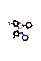 COc1ccc(OCc2ccccc2)c(Pc2ccc(C)cc2CN2CCCCC2)c1